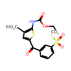 CCOC(=O)c1cc(C(=O)c2cccc(S(=O)(=O)F)c2)sc1NC(=O)OCC(Cl)(Cl)Cl